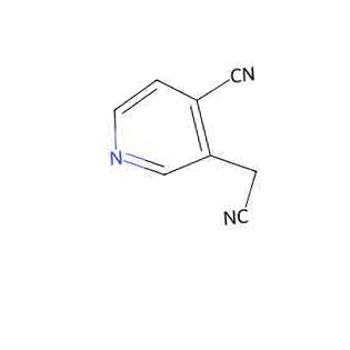 N#CCc1cnccc1C#N